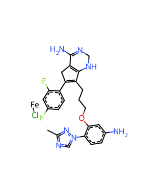 Cc1ncn(-c2ccc(N)cc2OCCCC2=C(c3ccc(F)cc3F)CC3=C2NCN=C3N)n1.[Cl][Fe]